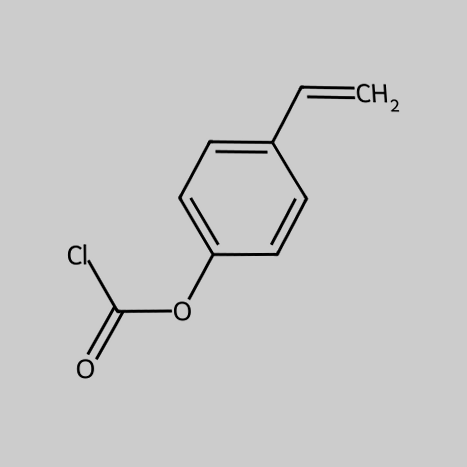 C=Cc1ccc(OC(=O)Cl)cc1